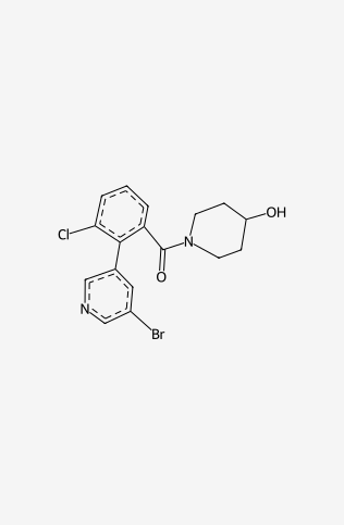 O=C(c1cccc(Cl)c1-c1cncc(Br)c1)N1CCC(O)CC1